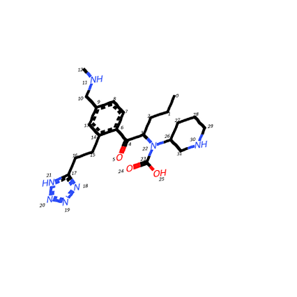 CCCC(C(=O)c1ccc(CNC)cc1CCc1nnn[nH]1)N(C(=O)O)C1CCCNC1